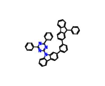 c1ccc(-c2nc(-c3ccccc3)nc(-n3c4ccccc4c4ccc(-c5cccc(-c6ccc7c(c6)C(c6ccccc6)c6ccccc6-7)c5)cc43)n2)cc1